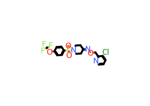 O=S(=O)(c1ccc(OC(F)(F)F)cc1)N1CCC(=NOCc2ncccc2Cl)CC1